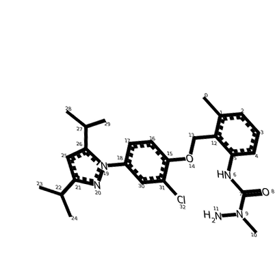 Cc1cccc(NC(=O)N(C)N)c1COc1ccc(-n2nc(C(C)C)cc2C(C)C)cc1Cl